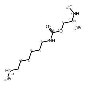 CCN[C@@H](COC(=O)NCCCCCCNC(C)C)C(C)C